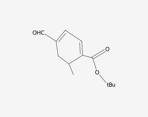 CC1CC(C=O)=CC=C1C(=O)OC(C)(C)C